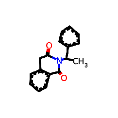 CC(c1ccccc1)N1C(=O)Cc2ccccc2C1=O